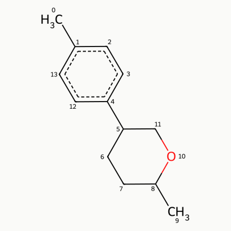 Cc1ccc(C2CCC(C)OC2)cc1